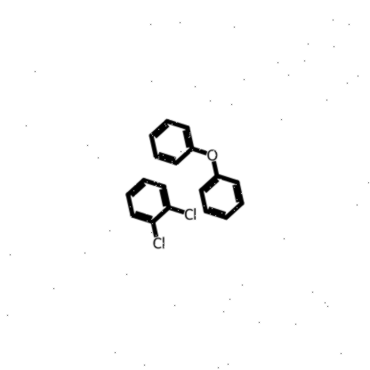 Clc1ccccc1Cl.c1ccc(Oc2ccccc2)cc1